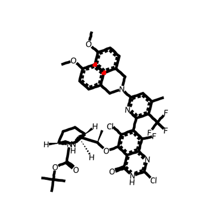 COc1ccc(CN(Cc2ccc(OC)cc2)c2cc(C)c(C(F)(F)F)c(-c3c(Cl)c(O[C@H](C)[C@H]4NC[C@H]5CC[C@@H]4CN5C(=O)OC(C)(C)C)c4c(=O)[nH]c(Cl)nc4c3F)n2)cc1